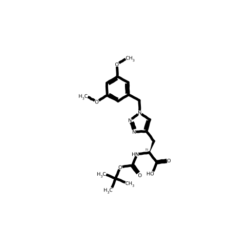 COc1cc(Cn2cc(C[C@H](NC(=O)OC(C)(C)C)C(=O)O)nn2)cc(OC)c1